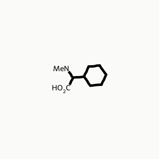 CNC(C(=O)O)C1CCCCC1